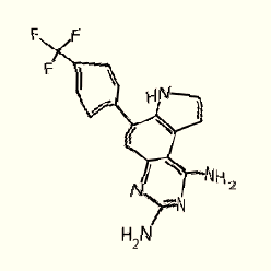 Nc1nc(N)c2c(cc(-c3ccc(C(F)(F)F)cc3)c3[nH]ccc32)n1